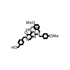 CCCC(C)Nc1nc(N(Cc2ccc(OC)cc2)Cc2ccc(OC)cc2)nc2cnn(Cc3ccc(CO)cc3)c(=O)c12